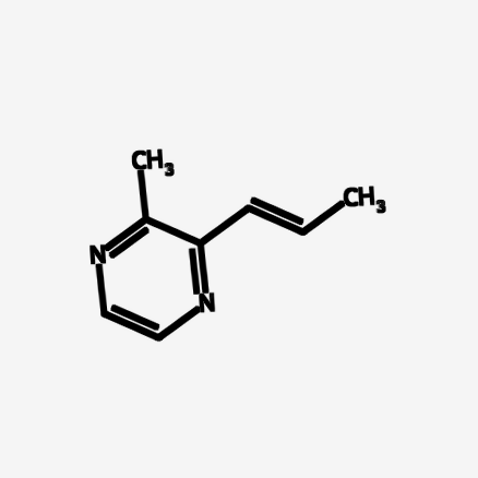 CC=Cc1nccnc1C